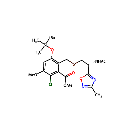 COC(=O)c1c(Cl)c(OC)cc(O[Si](C)(C)C(C)(C)C)c1CSC[C@H](NC(C)=O)c1nc(C)no1